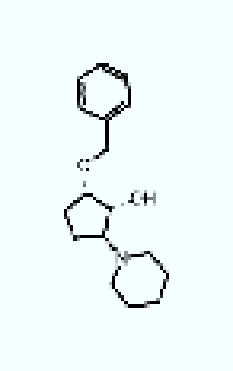 O[C@H]1[C@@H](OCc2ccccc2)CC[C@@H]1N1CCCCC1